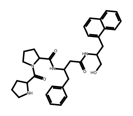 O=C(CC(Cc1ccccc1)NC(=O)C1CCCN1C(=O)C1CCCN1)NC(CO)Cc1cccc2ccccc12